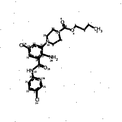 CCCCOC(=O)N1CCN(c2cc(Cl)cc(C(=O)Nc3ccc(Cl)cn3)c2N)CC1